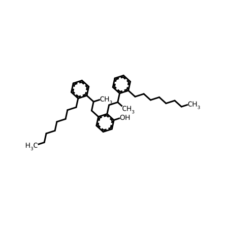 CCCCCCCCc1ccccc1C(C)Cc1cccc(O)c1CC(C)c1ccccc1CCCCCCCC